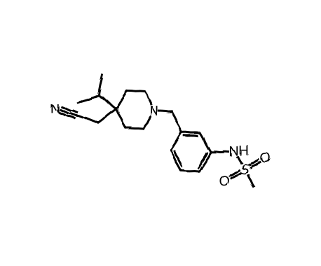 CC(C)C1(CC#N)CCN(Cc2cccc(NS(C)(=O)=O)c2)CC1